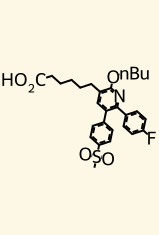 CCCCOc1nc(-c2ccc(F)cc2)c(-c2ccc(S(C)(=O)=O)cc2)cc1CCCCCC(=O)O